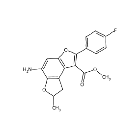 COC(=O)c1c(-c2ccc(F)cc2)oc2cc(N)c3c(c12)CC(C)O3